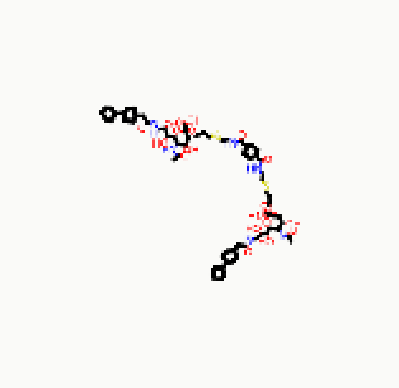 CC(=O)N[C@H]1[C@H]([C@H](O)[C@H](O)CNC(=O)Cc2ccc(-c3ccccc3)cc2)O[C@@](OCCCSCCNC(=O)c2ccc(C(=O)NCCSCCCO[C@]3(C(=O)O)C[C@H](O)[C@@H](NC(C)=O)[C@H]([C@H](O)[C@H](O)CNC(=O)Cc4ccc(-c5ccccc5)cc4)O3)cc2)(C(=O)O)C[C@@H]1O